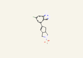 CS(=O)(=O)N1C[C@@H]2CC(c3cc(Cl)cc4[nH]ncc34)=C[C@@H]2C1